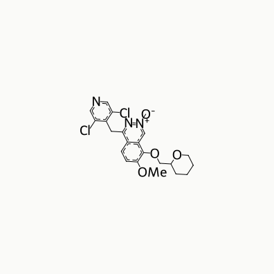 COc1ccc2c(Cc3c(Cl)cncc3Cl)n[n+]([O-])cc2c1OCC1CCCCO1